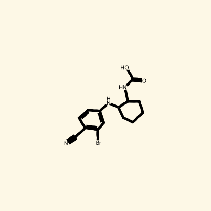 N#Cc1ccc(NC2CCCCC2NC(=O)O)cc1Br